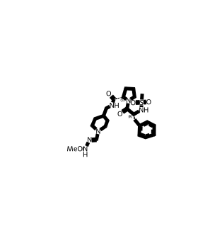 CONN=CN1CCC(CNC(=O)[C@@H]2CCCN2C(=O)[C@@H](Cc2ccccc2)NS(C)(=O)=O)CC1